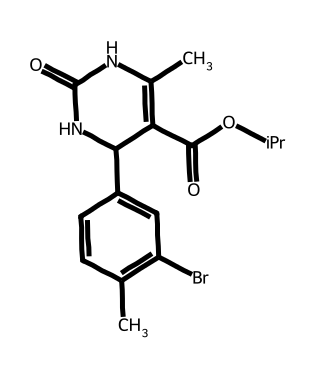 CC1=C(C(=O)OC(C)C)C(c2ccc(C)c(Br)c2)NC(=O)N1